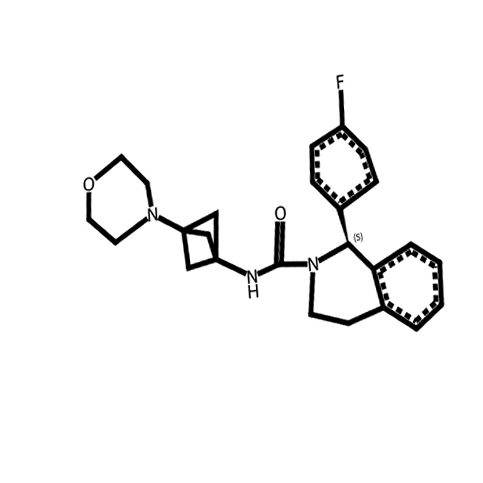 O=C(NC12CC(N3CCOCC3)(C1)C2)N1CCc2ccccc2[C@@H]1c1ccc(F)cc1